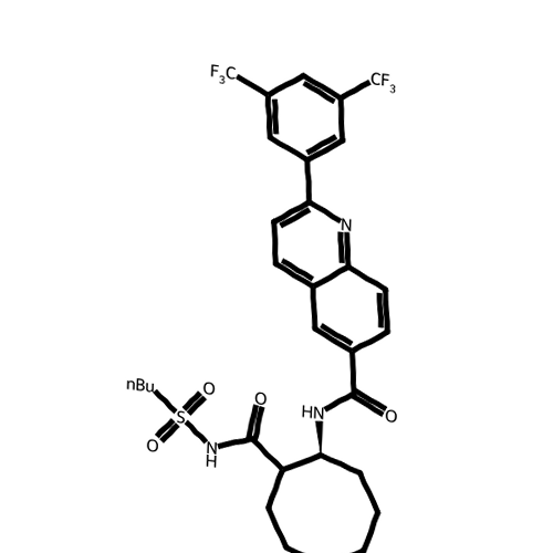 CCCCS(=O)(=O)NC(=O)C1CCCCCC[C@@H]1NC(=O)c1ccc2nc(-c3cc(C(F)(F)F)cc(C(F)(F)F)c3)ccc2c1